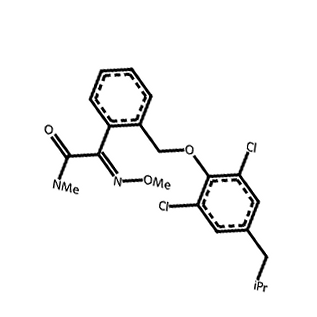 CNC(=O)/C(=N/OC)c1ccccc1COc1c(Cl)cc(CC(C)C)cc1Cl